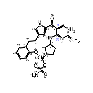 C=C/N=C(N[C@H]1CC[C@@H](COS(N)(=O)=O)C1)\C(=C/N)C(=O)c1cc(CCc2ccccc2OC)cs1